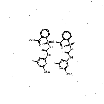 COC(=O)c1ccccc1S(=O)(=O)NC(=O)Nc1nc(C)nc(OC)n1.COC(=O)c1ccccc1S(=O)(=O)NC(=O)Nc1nc(C)nc(OC)n1